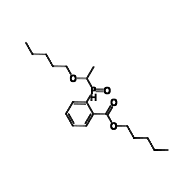 CCCCCOC(=O)c1ccccc1[PH](=O)C(C)OCCCCC